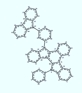 c1ccc(-n2c3ccccc3c3c4ccccc4c4c(c5ccccc5n4-c4cccc(-n5c6ccccc6c6ccccc65)c4)c32)cc1